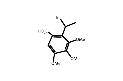 COc1cc(C(=O)O)c(C(C)Br)c(OC)c1OC